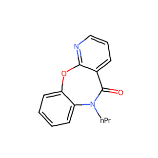 CCCN1C(=O)c2cccnc2Oc2ccccc21